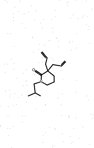 C=CCC1(CC=C)CCCN(C[C](C)C)C1=O